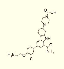 BCCOc1ccc(-c2cc(C(N)=O)c3[nH]c4cc(N5CCN(C(=O)O)CC5)ccc4c3c2)cc1Cl